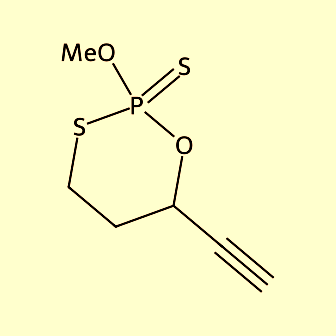 C#CC1CCSP(=S)(OC)O1